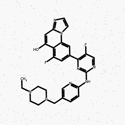 CCN1CCN(Cc2ccc(Nc3ncc(F)c(-c4cc(F)c5c(O)cc6nccn6c5c4)n3)nc2)CC1